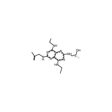 C=C(C)CNc1nc(NCC)c2nc(NC[C@@H](C)O)nc(NCC)c2n1